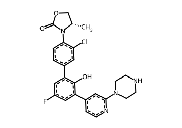 C[C@H]1COC(=O)N1c1ccc(-c2cc(F)cc(-c3ccnc(N4CCNCC4)c3)c2O)cc1Cl